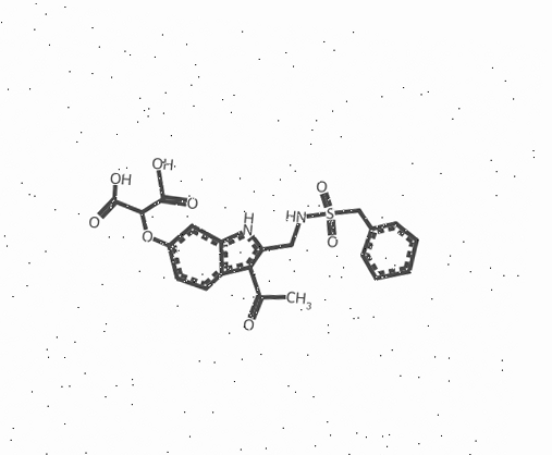 CC(=O)c1c(CNS(=O)(=O)Cc2ccccc2)[nH]c2cc(OC(C(=O)O)C(=O)O)ccc12